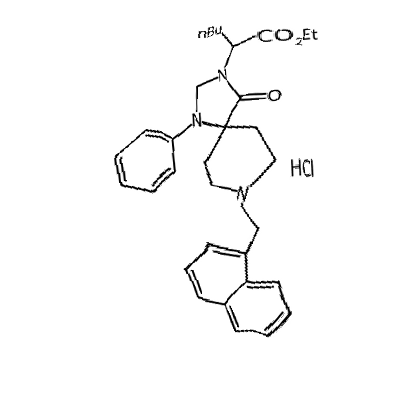 CCCCC(C(=O)OCC)N1CN(c2ccccc2)C2(CCN(Cc3cccc4ccccc34)CC2)C1=O.Cl